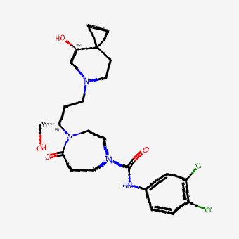 O=C(Nc1ccc(Cl)c(Cl)c1)N1CCC(=O)N([C@H](CO)CCN2CCC3(CC3)[C@H](O)C2)CC1